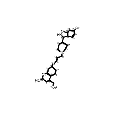 OCC1CC(O)OC2=C1CCC(OCCCN1CCC(C3NOC4C=C(F)C=CC43)CC1)C2